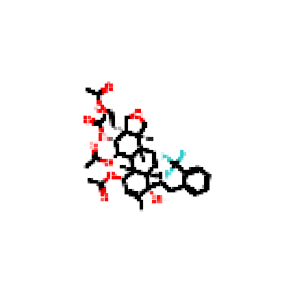 CC(=O)OCC[C@]12COC[C@H]1[C@]1(C)CC[C@@H]3[C@@](C)(C1[C@H](OC(C)=O)[C@@H]2OC(C)=O)[C@H](OC(C)=O)C=C(C)[C@]3(O)CCc1ccccc1C(F)(F)F